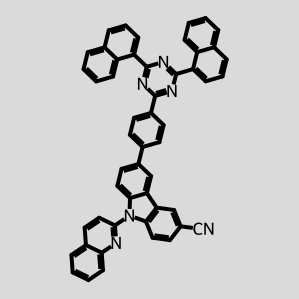 N#Cc1ccc2c(c1)c1cc(-c3ccc(-c4nc(-c5cccc6ccccc56)nc(-c5cccc6ccccc56)n4)cc3)ccc1n2-c1ccc2ccccc2n1